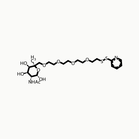 CC(=O)N[C@@H]1[C@@H](O)[C@@H](O)[C@@](C)(COCCOCCOCCOCCSSc2ccccn2)O[C@@H]1O